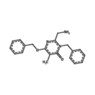 Cc1c(OCc2ccccc2)nc(CN)n(Cc2ccccc2)c1=O